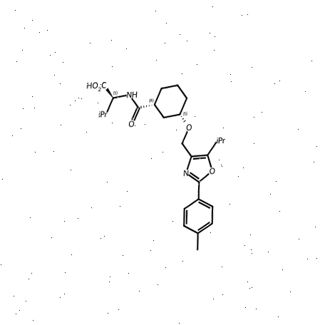 Cc1ccc(-c2nc(CO[C@H]3CCC[C@@H](C(=O)N[C@H](C(=O)O)C(C)C)C3)c(C(C)C)o2)cc1